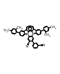 Cc1ccc(-c2ccc3c(c2)c2ccccc2n3-c2cc(C#N)c(-c3cccc(C#N)c3)cc2-n2c3ccccc3c3cc(-c4ccc(C)cc4C)ccc32)c(C)c1